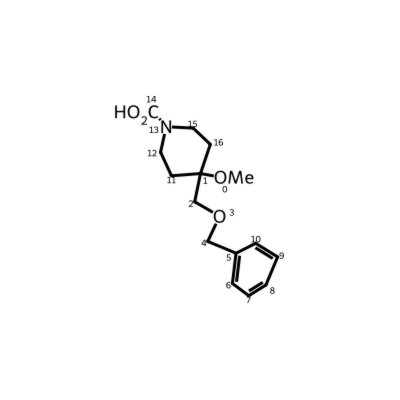 COC1(COCc2ccccc2)CCN(C(=O)O)CC1